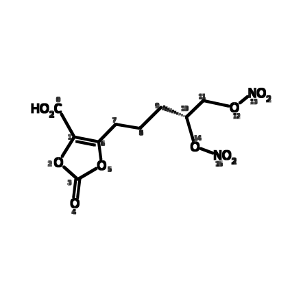 O=C(O)c1oc(=O)oc1CCC[C@H](CO[N+](=O)[O-])O[N+](=O)[O-]